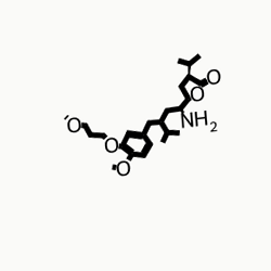 COCCCOc1cc(CC(C[C@H](N)C2C[C@@H](C(C)C)C(=O)O2)C(C)C)ccc1OC